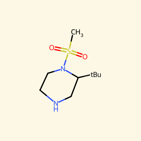 CC(C)(C)C1CNCCN1S(C)(=O)=O